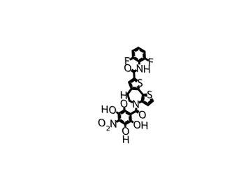 O=C(Nc1c(F)cccc1F)c1cc2c(s1)-c1sccc1N(C(=O)c1c(O)c(O)c([N+](=O)[O-])c(O)c1O)CC2